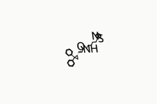 O=C(/C=C/[C@@H]1CC1(c1ccccc1)c1ccccc1)NCCCCc1nccs1